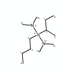 CCCC[Si](C(C)CC)(N(C)C)N(C)C